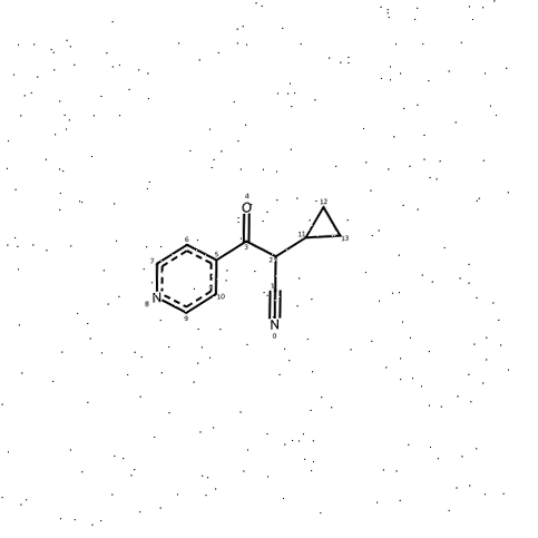 N#CC(C(=O)c1ccncc1)C1CC1